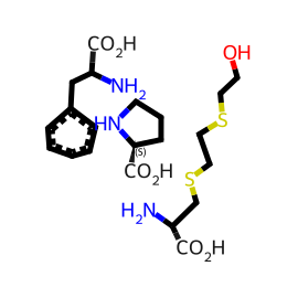 NC(CSCCSCCO)C(=O)O.NC(Cc1ccccc1)C(=O)O.O=C(O)[C@@H]1CCCN1